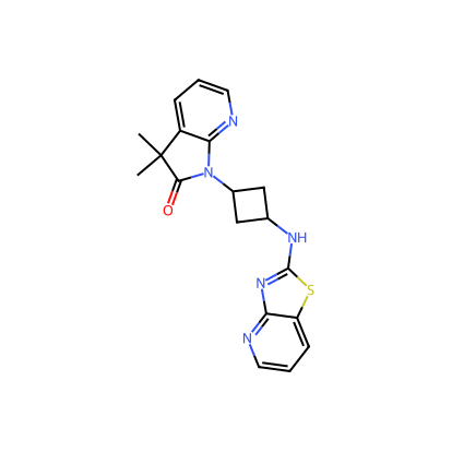 CC1(C)C(=O)N(C2CC(Nc3nc4ncccc4s3)C2)c2ncccc21